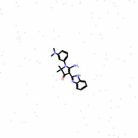 CN(C)c1cccc(N2C(N)=C(c3nc4ccccc4[nH]3)C(=O)C2(C)C)c1